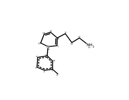 Cc1cccc(N2C=C(CCCN)C=CC2)c1